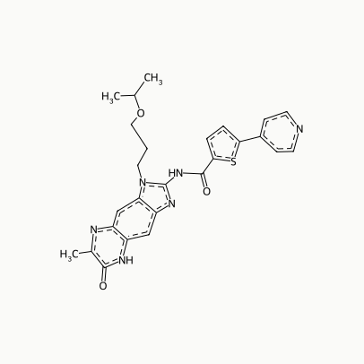 Cc1nc2cc3c(cc2[nH]c1=O)nc(NC(=O)c1ccc(-c2ccncc2)s1)n3CCCOC(C)C